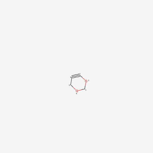 C1#COCOC1